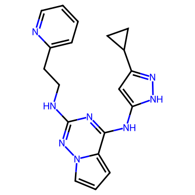 c1ccc(CCNc2nc(Nc3cc(C4CC4)n[nH]3)c3cccn3n2)nc1